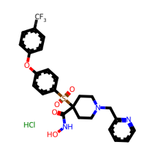 Cl.O=C(NO)C1(S(=O)(=O)c2ccc(Oc3ccc(C(F)(F)F)cc3)cc2)CCN(Cc2ccccn2)CC1